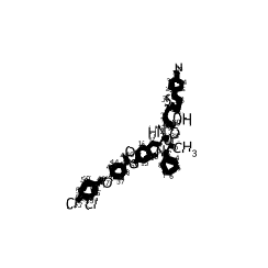 CC[C@@H](c1ccccc1)N1Cc2cc3c(cc2C[C@H]1C(=O)NC(Cc1ccc(-c2ccc(C#N)cc2)s1)C(=O)O)OC[C@H](c1ccc(OCc2ccc(Cl)c(Cl)c2)cc1)O3